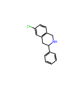 Clc1ccc2c(c1)CC(c1ccccc1)NC2